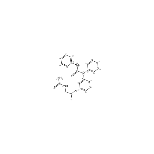 CC(C)CNC(N)=S.S=C(Nc1ccccc1)N(c1ccccc1)c1ccccc1